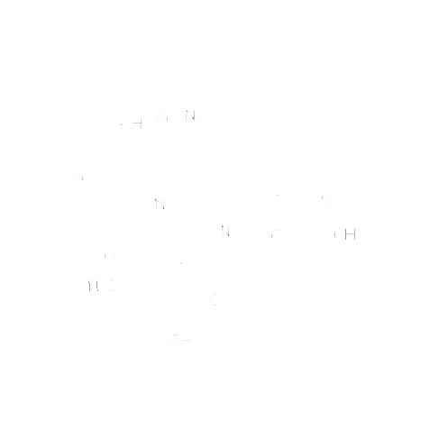 COC(=O)c1ccc[n+]([O-])c1C1=NC(C)(C(C)C)C(=O)N1C(C)=O